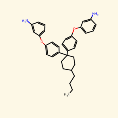 CCCCC1CCC(c2ccc(Oc3cccc(N)c3)cc2)(c2ccc(Oc3cccc(N)c3)cc2)CC1